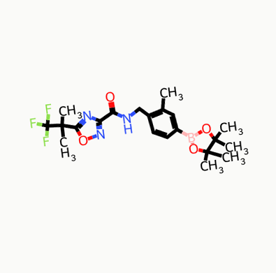 Cc1cc(B2OC(C)(C)C(C)(C)O2)ccc1CNC(=O)c1noc(C(C)(C)C(F)(F)F)n1